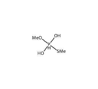 CO[PH](O)(O)SC